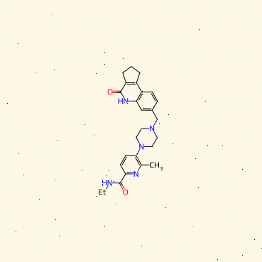 CCNC(=O)c1ccc(N2CCN(Cc3ccc4c5c(c(=O)[nH]c4c3)CCC5)CC2)c(C)n1